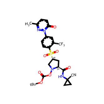 Cc1ccc(=O)n(-c2ccc(S(=O)(=O)[C@@H]3C[C@@H](C(=O)NC4(C#N)CC4)N(OC(=O)OC(C)(C)C)C3)c(C(F)(F)F)c2)n1